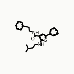 CC(C)CCNc1sc(-c2ccccc2)cc1C(=O)NCCc1ccccc1